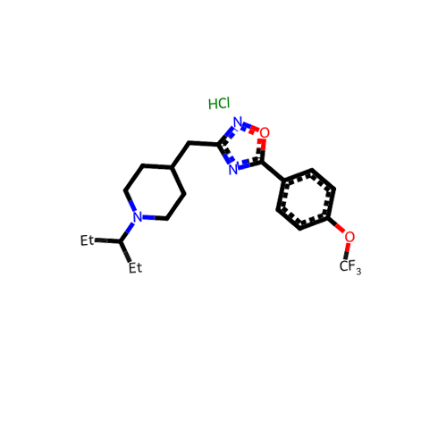 CCC(CC)N1CCC(Cc2noc(-c3ccc(OC(F)(F)F)cc3)n2)CC1.Cl